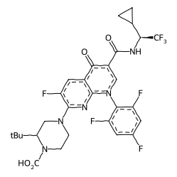 CC(C)(C)C1CN(c2nc3c(cc2F)c(=O)c(C(=O)N[C@@H](C2CC2)C(F)(F)F)cn3-c2c(F)cc(F)cc2F)CCN1C(=O)O